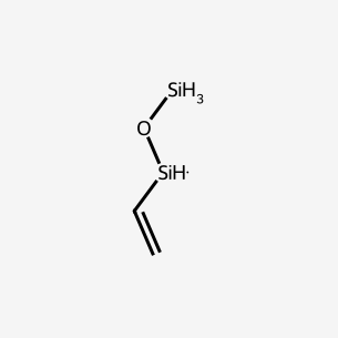 C=C[SiH]O[SiH3]